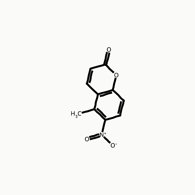 Cc1c([N+](=O)[O-])ccc2oc(=O)ccc12